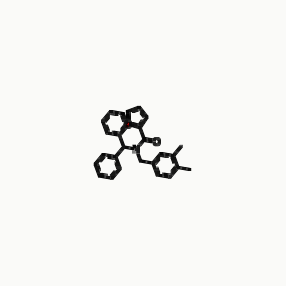 Cc1ccc(CN(C(=O)c2ccco2)C(c2ccccc2)c2ccccc2)cc1C